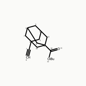 C#CC12CC3CC(C1)CC(C(=O)OCC(C)C)(C3)C2